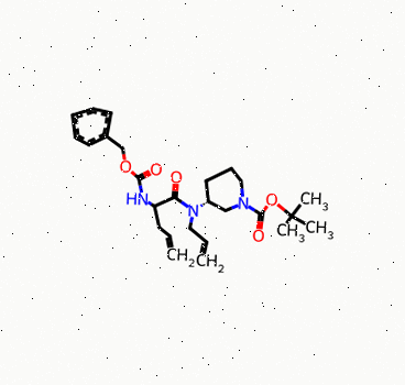 C=CCC(NC(=O)OCc1ccccc1)C(=O)N(CC=C)[C@@H]1CCCN(C(=O)OC(C)(C)C)C1